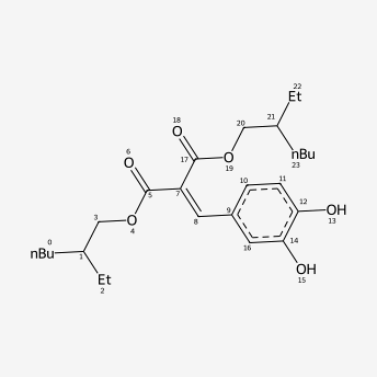 CCCCC(CC)COC(=O)C(=Cc1ccc(O)c(O)c1)C(=O)OCC(CC)CCCC